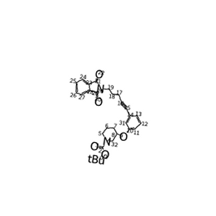 CC(C)(C)OC(=O)N1CCCC(Oc2cccc(C#CCCCN3C(=O)c4ccccc4C3=O)c2)C1